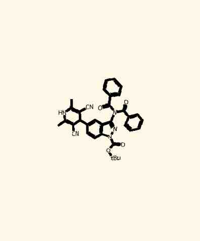 CC1=C(C#N)C(c2ccc3c(c2)c(N(C(=O)c2ccccc2)C(=O)c2ccccc2)nn3C(=O)OC(C)(C)C)C(C#N)=C(C)N1